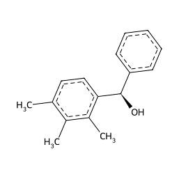 Cc1ccc([C@H](O)c2ccccc2)c(C)c1C